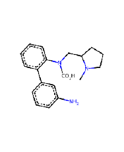 CN1CCCC1CN(C(=O)O)c1ccccc1-c1cccc(N)c1